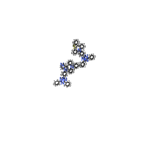 c1ccc(-c2nc(-c3ccccc3)nc(-c3ccc(-n4c5c(c6cnccc64)-c4ccccc4N(c4ccc(-c6cccc(-c7nc(-c8ccccc8)nc(-c8ccc(N9c%10ccccc%10-c%10sc%11ccccc%11c%10-c%10ccccc%109)cc8)n7)c6)cc4)c4ccccc4-5)cc3)n2)cc1